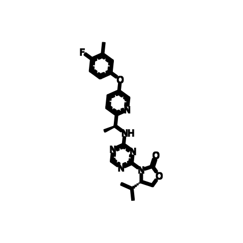 Cc1cc(Oc2ccc([C@H](C)Nc3ncnc(N4C(=O)OC[C@@H]4C(C)C)n3)nc2)ccc1F